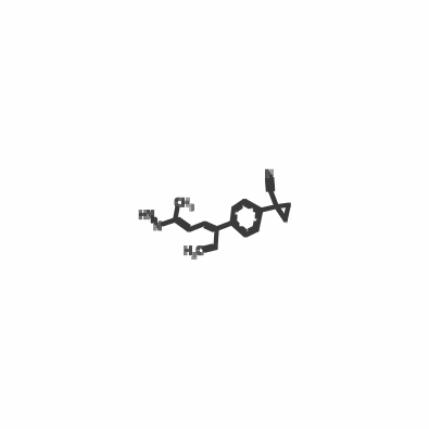 C=C/C(=C\C=C(/C)N=N)c1ccc(C2(C#N)CC2)cc1